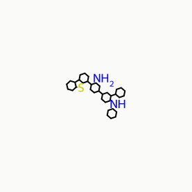 NC1CC(C2CCC(NC3CCCCC3)C(C3CCCCC3)C2)CCC1C1CCCC2C3CCCCC3SC12